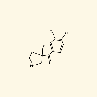 CC(C)C1(C(=O)c2ccc(Cl)c(Cl)c2)CCNC1